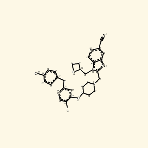 N#Cc1cc2nc(CN3CCC(Oc4nc(Cc5ccc(Cl)cc5)ncc4F)CC3)n(C[C@@H]3CCO3)c2cn1